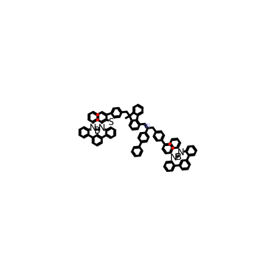 CC1(Cc2ccc3c(c2)sc2c(N4B5c6c(cccc6-c6ccccc64)-c4ccccc4N5c4ccccc4)cccc23)c2ccccc2-c2c(/C=C(/Cc3ccc(-c4ccc(N5B6c7c(cccc7-c7ccccc75)-c5ccccc5N6c5ccccc5)cc4)cc3)c3ccc(-c4ccccc4)cc3)cccc21